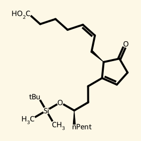 CCCCC[C@H](CCC1=CCC(=O)[C@@H]1C/C=C\CCCC(=O)O)O[Si](C)(C)C(C)(C)C